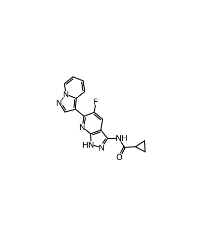 O=C(Nc1n[nH]c2nc(-c3cnn4ccccc34)c(F)cc12)C1CC1